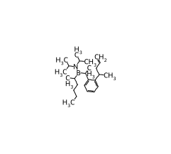 C=CCC(C)c1ccccc1C(C)B(C(C)CCCC)N(C(C)C)C(C)C